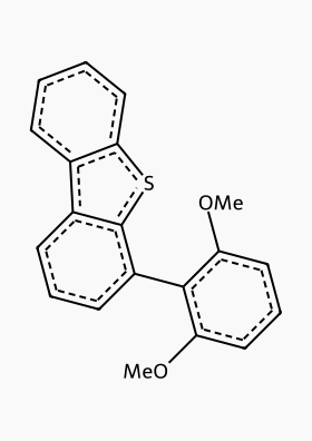 COc1cccc(OC)c1-c1cccc2c1sc1ccccc12